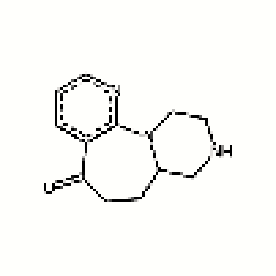 O=C1CCC2CNCCN2c2ncccc21